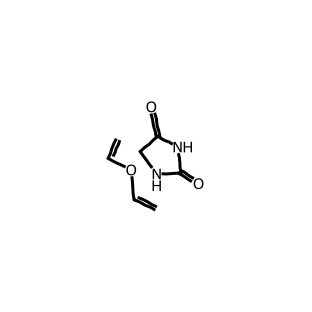 C=COC=C.O=C1CNC(=O)N1